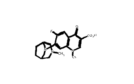 CCn1cc(C(=O)O)c(=O)c2cc(F)c(N3CC4CCC3CN(C)C4)cc21